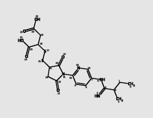 CCC(C)C(=N)Nc1ccc(N2C(=O)CC(SSC(CC(=O)O)C(=O)O)C2=O)nc1